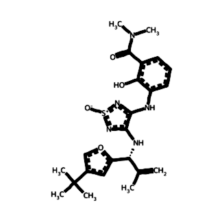 C=C(C)[C@@H](Nc1n[s+]([O-])nc1Nc1cccc(C(=O)N(C)C)c1O)c1cc(C(C)(C)C)co1